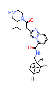 CC(C)[C@@H]1CNCCN1C(=O)Cc1cn2c(C(=O)NC[C@@H]3CC[C@@H]4C[C@@H]3C4(C)C)cccc2n1